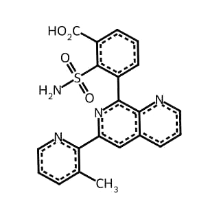 Cc1cccnc1-c1cc2cccnc2c(-c2cccc(C(=O)O)c2S(N)(=O)=O)n1